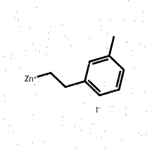 Cc1cccc(C[CH2][Zn+])c1.[I-]